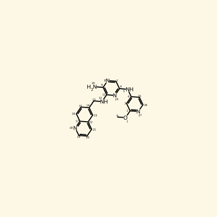 COc1cc(Nc2cnc(N)c(NCc3ccc4ncccc4c3)n2)ccn1